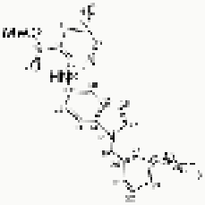 COC(=O)c1cc(Cl)cnc1Nc1ccc2c(ccn2Cc2cccc(OC(F)(F)F)c2)c1